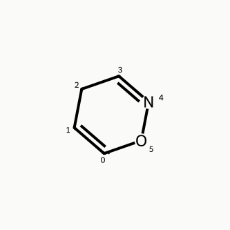 [C]1=CCC=NO1